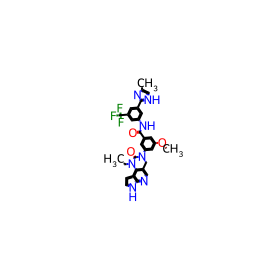 CCN1C(=O)N(c2cc(OC)cc(C(=O)Nc3cc(-c4nc(C)c[nH]4)cc(C(F)(F)F)c3)c2)Cc2cnc3[nH]ccc3c21